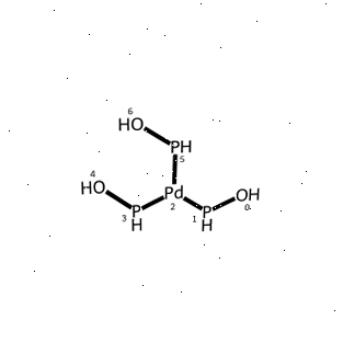 O[PH][Pd]([PH]O)[PH]O